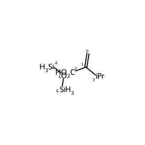 C=C(C(=O)O)C(C)C.[SiH3]O[SiH3]